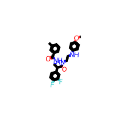 COc1ccc(NCCNC(=O)C(CNC(=O)c2cccc(C)c2)c2ccc(F)c(F)c2)cc1